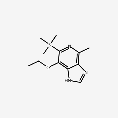 CCOc1c([Si](C)(C)C)nc(C)c2nc[nH]c12